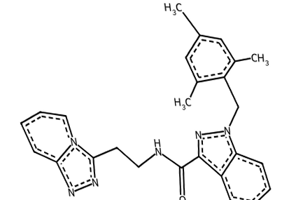 Cc1cc(C)c(Cn2nc(C(=O)NCCc3nnc4ccccn34)c3ccccc32)c(C)c1